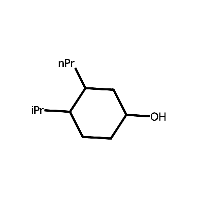 CCCC1CC(O)CCC1C(C)C